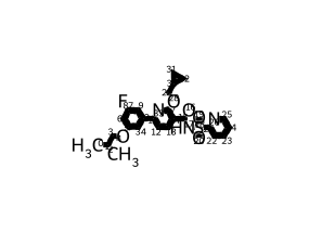 CC(C)COc1cc(F)cc(-c2ccc(C(=O)NS(=O)(=O)c3ccccn3)c(OCC3CC3)n2)c1